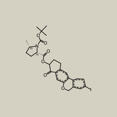 C[C@H]1CC[C@@H](C(=O)OC2CCc3cc4c(cc3C2=O)OCc2cc(I)ccc2-4)N1C(=O)OC(C)(C)C